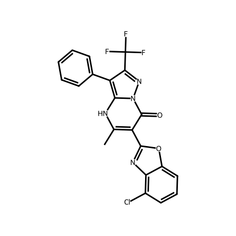 Cc1[nH]c2c(-c3ccccc3)c(C(F)(F)F)nn2c(=O)c1-c1nc2c(Cl)cccc2o1